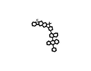 CC1(C)c2ccc(-c3ccc(-c4c5ccccc5c(-c5ccccc5)c5ccccc45)c4ccccc34)cc2-c2cc3cc4c(cc3cc21)sc1ccccc14